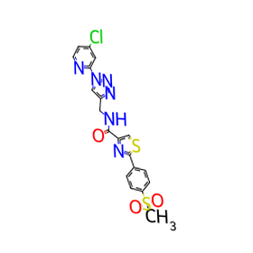 CS(=O)(=O)c1ccc(-c2nc(C(=O)NCc3cn(-c4cc(Cl)ccn4)nn3)cs2)cc1